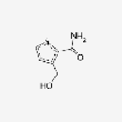 NC(=O)c1sccc1CO